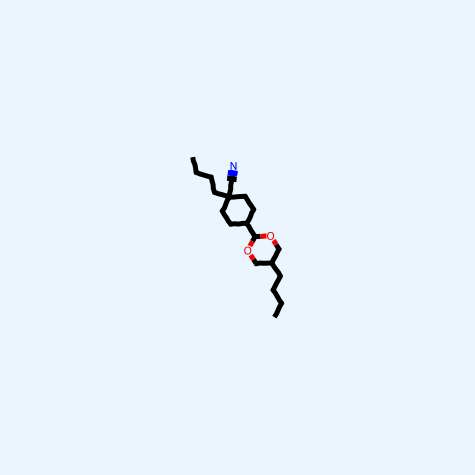 CCCCC1COC(C2CCC(C#N)(CCCC)CC2)OC1